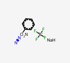 F[B-](F)(F)F.N#N.O=[N+]([O-])c1ccccc1.[NaH]